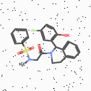 CN(CC(=O)N1CCc2ccccc2C1c1cc(F)ccc1O)S(=O)(=O)c1ccccc1